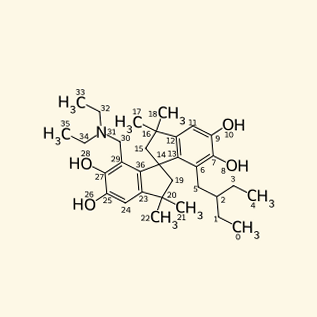 CCC(CC)Cc1c(O)c(O)cc2c1C1(CC2(C)C)CC(C)(C)c2cc(O)c(O)c(CN(CC)CC)c21